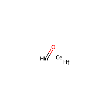 [Ce].[Hf].[O]=[InH]